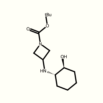 CC(C)(C)OC(=O)N1CC(N[C@H]2CCCC[C@@H]2O)C1